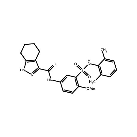 COc1ccc(NC(=O)c2n[nH]c3c2CCCC3)cc1S(=O)(=O)Nc1c(C)cccc1C